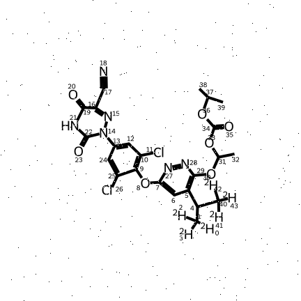 [2H]C([2H])([2H])C(c1cc(Oc2c(Cl)cc(-n3nc(C#N)c(=O)[nH]c3=O)cc2Cl)nnc1OC(C)OC(=O)OC(C)C)C([2H])([2H])[2H]